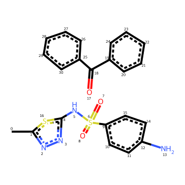 Cc1nnc(NS(=O)(=O)c2ccc(N)cc2)s1.O=C(c1ccccc1)c1ccccc1